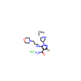 COC[C@H]1C[C@H](n2nc(Br)c(C(N)=O)c2NCCCN2CCOCC2)CN1.Cl